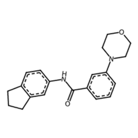 O=C(Nc1ccc2c(c1)CCC2)c1cccc(N2CCOCC2)c1